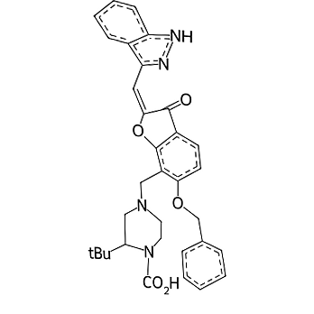 CC(C)(C)C1CN(Cc2c(OCc3ccccc3)ccc3c2OC(=Cc2n[nH]c4ccccc24)C3=O)CCN1C(=O)O